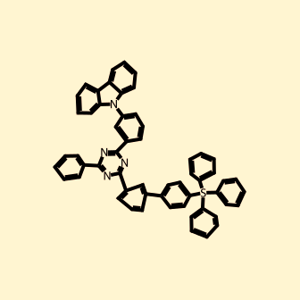 c1ccc(-c2nc(-c3cccc(-c4ccc(S(c5ccccc5)(c5ccccc5)c5ccccc5)cc4)c3)nc(-c3cccc(-n4c5ccccc5c5ccccc54)c3)n2)cc1